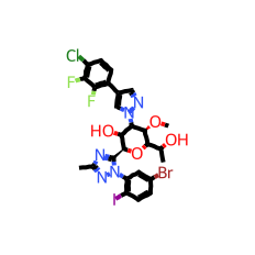 CO[C@H]1C(C(C)O)O[C@@H](c2nc(C)nn2-c2cc(Br)ccc2I)C(O)C1n1cc(-c2ccc(Cl)c(F)c2F)cn1